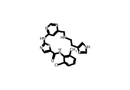 Cc1cccc(Cl)c1NC(=O)c1cnc(Nc2cc(CNCCc3c[nH]cn3)ncn2)s1